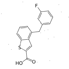 O=C(O)c1cc2c(Cc3cccc(F)c3)cccc2s1